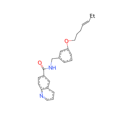 CCC=CCCCOc1cccc(CNC(=O)c2ccc3ncccc3c2)c1